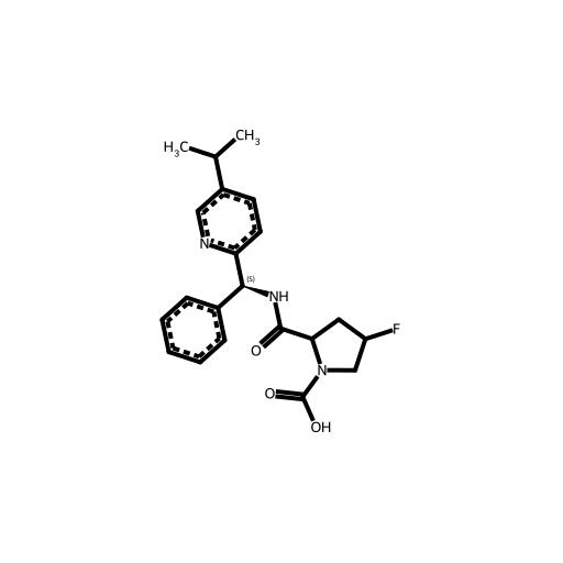 CC(C)c1ccc([C@@H](NC(=O)C2CC(F)CN2C(=O)O)c2ccccc2)nc1